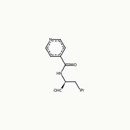 CC(C)C[C@@H]([C]=O)NC(=O)c1ccncc1